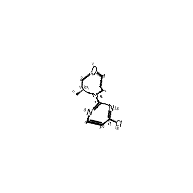 C[C@H]1COCCN1c1nccc(Cl)n1